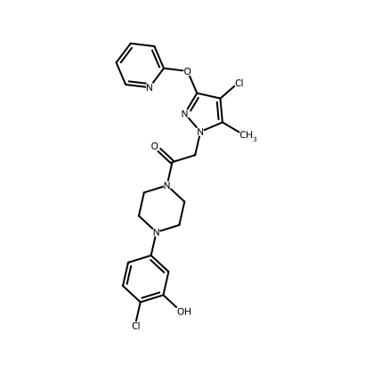 Cc1c(Cl)c(Oc2ccccn2)nn1CC(=O)N1CCN(c2ccc(Cl)c(O)c2)CC1